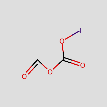 O=COC(=O)OI